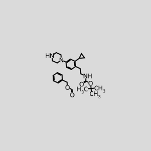 CC(C)(C)OC(=O)NCCc1ccc(N2CCNCC2)cc1C1CC1.O=COCc1ccccc1